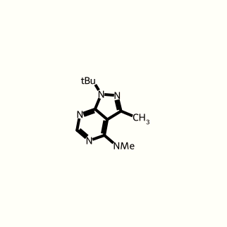 CNc1ncnc2c1c(C)nn2C(C)(C)C